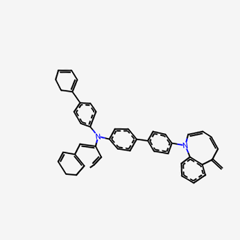 C=C1/C=C\C=C/N(c2ccc(-c3ccc(N(C(/C=C\C)=C/C4=CCCC=C4)c4ccc(C5=CC=CCC5)cc4)cc3)cc2)c2ccccc21